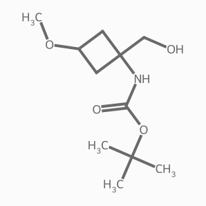 COC1CC(CO)(NC(=O)OC(C)(C)C)C1